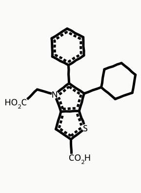 O=C(O)Cn1c(-c2ccccc2)c(C2CCCCC2)c2sc(C(=O)O)cc21